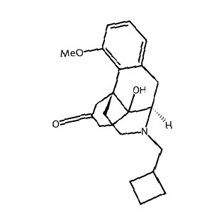 COc1cccc2c1[C@]13CCN(CC4CCC4)[C@H](C2)C1(O)CCC(=O)C3